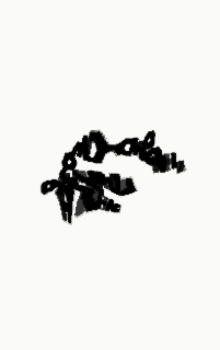 CCCCOc1nc(NC(C)=O)c2[nH]c(=O)n(Cc3ccc(CN4CCC(C5CCN(C(=O)CON)CC5)CC4)cc3)c2n1